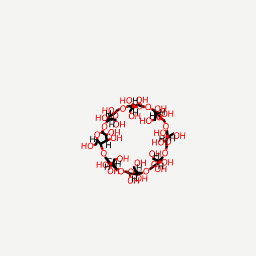 OC[C@H]1CC2OC3[C@H](O)C(O)C(OC4[C@H](O)C(O)C(OC5[C@H](O)C(O)C(OC6[C@H](O)C(O)C(OC7[C@H](O)C(O)C(OC8[C@H](O)C(O)C(OC9[C@H](O)C(O)C(OC1[C@H](O)C2O)O[C@@H]9CO)O[C@@H]8CO)O[C@@H]7CO)O[C@@H]6CO)O[C@@H]5CO)O[C@@H]4CO)O[C@@H]3CO